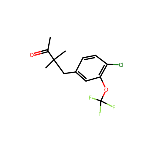 CC(=O)C(C)(C)Cc1ccc(Cl)c(OC(F)(F)F)c1